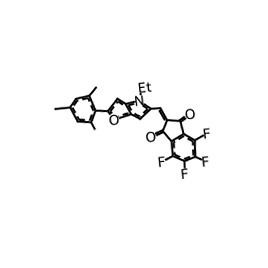 CCn1c(C=C2C(=O)c3c(F)c(F)c(F)c(F)c3C2=O)cc2oc(-c3c(C)cc(C)cc3C)cc21